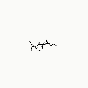 CC(C)CC1C[C@@]12CCN(C(C)C)C2